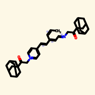 C\C=C/C(/C=C/c1cc[n+](CC(=O)C23CC4CC(CC(C4)C2)C3)cc1)=C\C=N\CC(=O)C12CC3CC(CC(C3)C1)C2